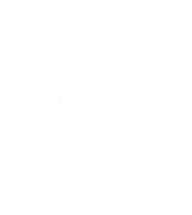 O=C(O)CCCCOC(=O)C1CC2C=CC1C2